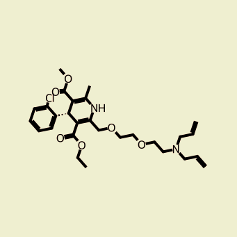 C=CCN(CC=C)CCOCCOCC1=C(C(=O)OCC)[C@H](c2ccccc2Cl)C(C(=O)OC)=C(C)N1